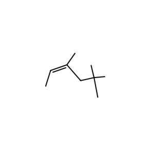 CC=C(C)CC(C)(C)C